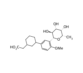 COc1ccc(C2CCCC(CC(=O)O)C2)cc1[C@H]1O[C@@H](C)[C@@H](O)[C@@H](O)[C@@H]1O